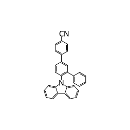 N#Cc1ccc(-c2ccc(-n3c4ccccc4c4ccccc43)c(-c3ccccc3)c2)cc1